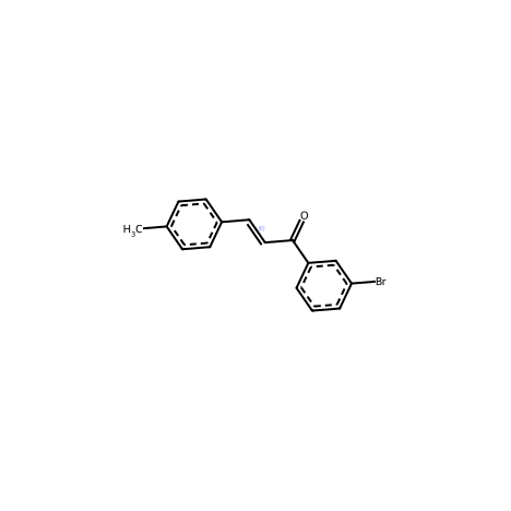 Cc1ccc(/C=C/C(=O)c2cccc(Br)c2)cc1